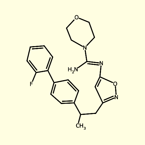 CC(Cc1cc(N=C(N)N2CCOCC2)on1)c1ccc(-c2ccccc2F)cc1